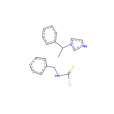 CC(c1ccccc1)[n+]1cc[nH]c1.S=C([S-])NCc1ccccc1